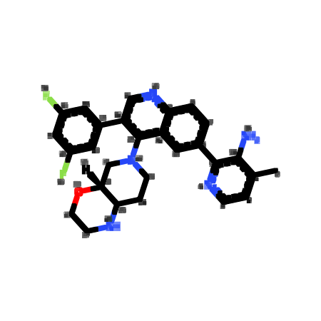 Cc1ccnc(-c2ccc3ncc(-c4cc(F)cc(F)c4)c(N4CCC5NCCO[C@@H]5C4)c3c2)c1N